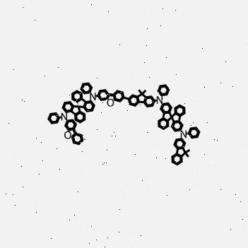 CC1(C)c2ccccc2-c2ccc(N(c3ccccc3)c3ccc4c(c3)-c3ccccc3C43c4ccccc4-c4cc(N(c5ccccc5)c5ccc6c(c5)C(C)(C)c5cc(-c7ccc8c(c7)oc7cc(N(c9ccccc9)c9cccc%10c9-c9ccccc9[C@@]%109c%10ccccc%10-c%10c(N(c%11ccccc%11)c%11ccc%12c(c%11)oc%11ccccc%11%12)cccc%109)ccc78)ccc5-6)ccc43)cc21